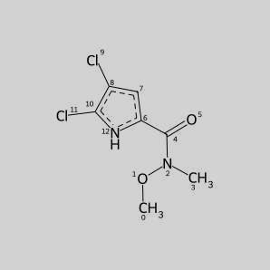 CON(C)C(=O)c1cc(Cl)c(Cl)[nH]1